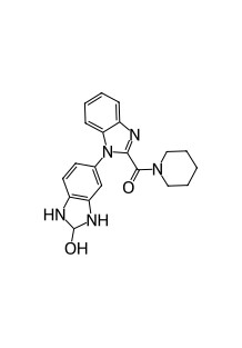 O=C(c1nc2ccccc2n1-c1ccc2c(c1)NC(O)N2)N1CCCCC1